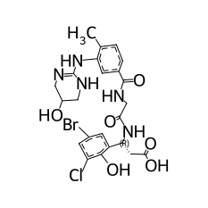 Cc1ccc(C(=O)NCC(=O)N[C@H](CC(=O)O)c2cc(Br)cc(Cl)c2O)cc1NC1=NCC(O)CN1